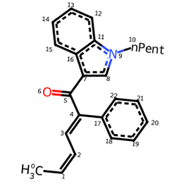 C/C=C\C=C(\C(=O)c1cn(CCCCC)c2ccccc12)c1ccccc1